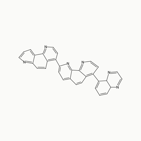 C1=CC2N=CC=NC2C(c2ccnc3c2ccc2ccc(-c4ccnc5c4ccc4ncccc45)nc23)=C1